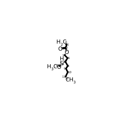 C=CC(=O)OCCC(CCCCC)[SiH2]OC